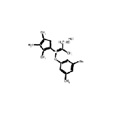 CC1=C(C)C(C)=[C]([Ti]([O]c2cc(C)cc(C(C)(C)C)c2)=[C](C)C)C1.Cl.Cl